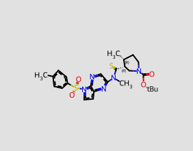 Cc1ccc(S(=O)(=O)n2ccc3nc(N(C)C(=S)[C@H]4CN(C(=O)OC(C)(C)C)CC[C@H]4C)cnc32)cc1